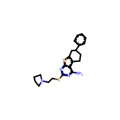 Nc1nc(SCCN2CCCC2)nc2sc3c(c12)CCC(c1ccccc1)C3